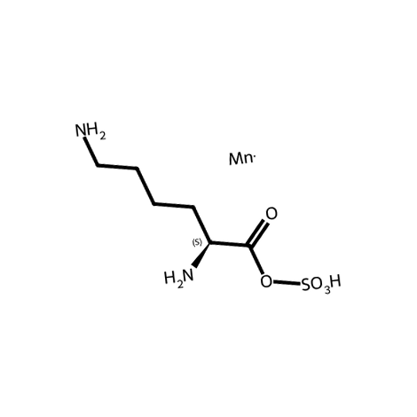 NCCCC[C@H](N)C(=O)OS(=O)(=O)O.[Mn]